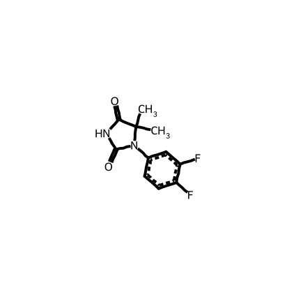 CC1(C)C(=O)NC(=O)N1c1ccc(F)c(F)c1